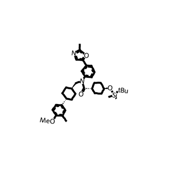 COc1ccc([C@H]2CC[C@H](CN(c3cccc(-c4cnc(C)o4)c3)C(=O)[C@H]3CC[C@H](O[Si](C)(C)C(C)(C)C)CC3)CC2)cc1C